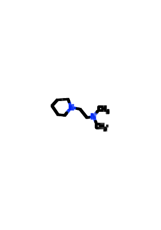 [CH2]N(C)CCN1CCCCC1